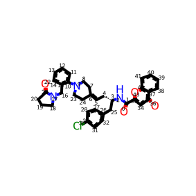 O=C(N[C@@H](CC=C1CCN(c2ccccc2CN2CCCC2=O)CC1)Cc1ccc(Cl)cc1)c1cc(=O)c2ccccc2o1